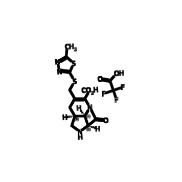 Cc1nnc(SCC2=C(C(=O)O)N3C(=O)[C@H]4NC[C@@H](C2)[C@H]43)s1.O=C(O)C(F)(F)F